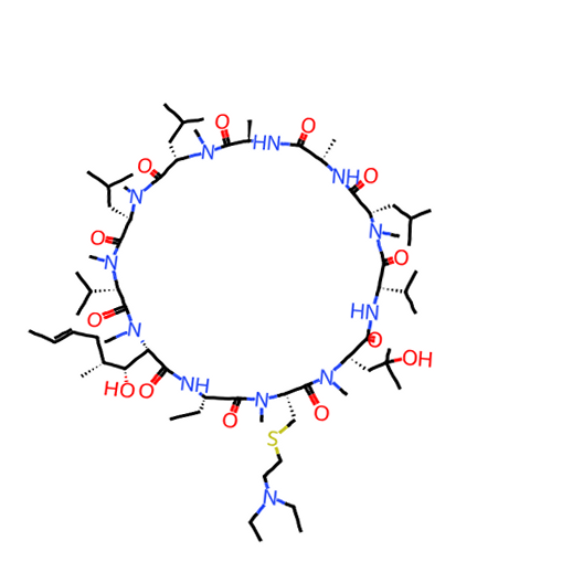 C/C=C/C[C@@H](C)[C@@H](O)[C@H]1C(=O)N[C@@H](CC)C(=O)N(C)[C@@H](CSCCN(CC)CC)C(=O)N(C)[C@@H](CC(C)(C)O)C(=O)N[C@@H](C(C)C)C(=O)N(C)[C@@H](CC(C)C)C(=O)N[C@@H](C)C(=O)N[C@H](C)C(=O)N(C)[C@@H](CC(C)C)C(=O)N(C)[C@@H](CC(C)C)C(=O)N(C)[C@@H](C(C)C)C(=O)N1C